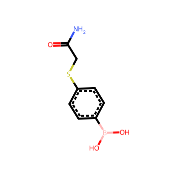 NC(=O)CSc1ccc(B(O)O)cc1